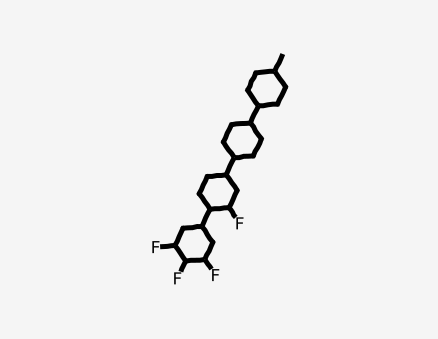 CC1CCC(C2CCC(C3CCC(C4CC(F)C(F)C(F)C4)C(F)C3)CC2)CC1